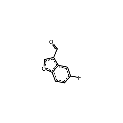 O=Cc1coc2ccc(F)cc12